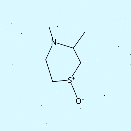 CC1C[S+]([O-])CCN1C